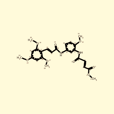 COC(=O)C=CC(=O)Nc1cc(NC(=O)C=Cc2c(OC)cc(OC)cc2OC)ccc1OC